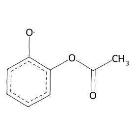 CC(=O)Oc1ccccc1[O]